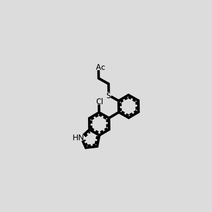 CC(=O)CCSc1ccccc1-c1cc2cc[nH]c2cc1Cl